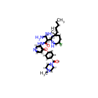 CCCCC[C@]1(C)CCC(F)CNC(C(C(=O)Nc2cnccc2O[C@H]2CC[C@@H](C(=O)N3CCN(C)CC3)CC2)C(N)N)C1